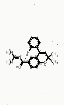 CC1(C)C=C(c2ccccc2F)c2cc(C(=O)N=C(N)N)ccc2O1